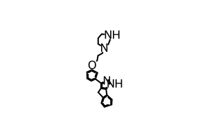 c1cc(OCCCN2CCCNCC2)cc(-c2n[nH]c3c2Cc2ccccc2-3)c1